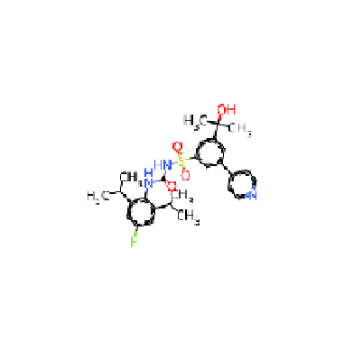 CC(C)c1cc(F)cc(C(C)C)c1NC(=O)NS(=O)(=O)c1cc(-c2ccncc2)cc(C(C)(C)O)c1